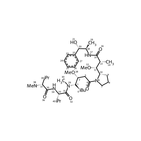 CC[C@H](C)[C@@H]([C@@H](CC(=O)N1CCC[C@H]1[C@H](OC)[C@@H](C)C(=O)N[C@H](C)[C@@H](O)c1ccccc1)OC)N(C)C(=O)[C@@H](NC(=O)[C@H](NC)C(C)C)C(C)C